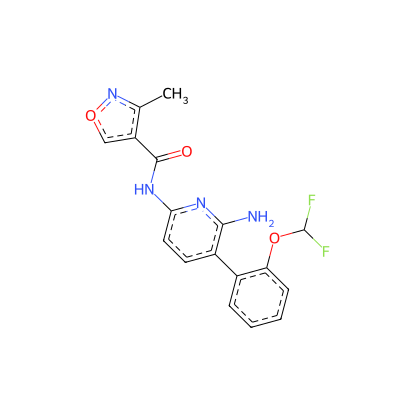 Cc1nocc1C(=O)Nc1ccc(-c2ccccc2OC(F)F)c(N)n1